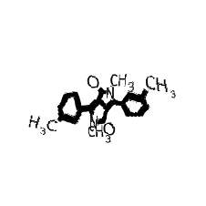 Cc1cccc(C2=C3C(=O)N(C)C(c4cccc(C)c4)=C3C(=O)N2C)c1